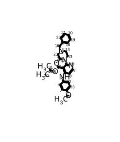 COc1ccc(Nc2ccnc(N3CCN(Cc4ccccc4)CC3)c2C(=O)OC(C)C)cc1